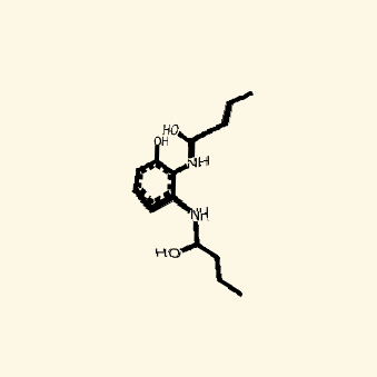 CCCC(O)Nc1cccc(O)c1NC(O)CCC